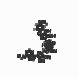 Nc1ncnc2c1ncn2[C@@H]1O[C@H](COP(=O)(O)OP(=O)(O)OC[C@H]2O[C@@H](Oc3ccc([N+](=O)[O-])cc3)C(O)C2O)[C@H](O)C1O